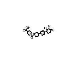 O=C1CC[C@@H](c2ccc(C3CCN(C(=O)N4CCC(C(=O)O)CC4)CC3)nc2)C(=O)N1